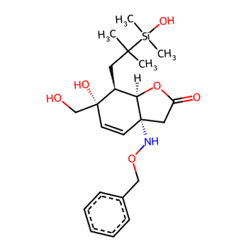 CC(C)(C[C@H]1[C@H]2OC(=O)C[C@@]2(NOCc2ccccc2)C=C[C@@]1(O)CO)[Si](C)(C)O